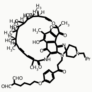 CC(=O)O[C@H]1[C@H](C)[C@H](O)[C@H](C)[C@@H](O)[C@@H](C)/C=C/C=C(/C)C(=O)NC2=C3C(=NC4(CCN(CC(C)C)CC4)N3CCC(=O)c3ccc(OCCCCC(C=O)C=O)cc3)c3c(c(O)c(C)c4c3C(=O)[C@@](C)(O/C=C/[C@H](C)[C@H]1C)O4)C2=O